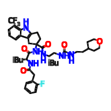 CCC(C)[C@H](NC(=O)Cc1ccccc1F)C(=O)N[C@]1(C(=O)N[C@H](CNC(=O)NCCC2CCOCC2)C(C)CC)CCc2[nH]c3c(C(F)(F)F)cccc3c2C1